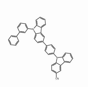 N#Cc1ccc2c(c1)c1ccccc1n2-c1ccc(-c2ccc3c(c2)c2ccccc2n3-c2cccc(-c3ccccc3)c2)cc1